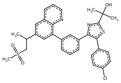 CC(CS(C)(=O)=O)c1cc(-c2cccc(-c3nc(C(C)(C)O)sc3-c3ccc(Cl)cc3)c2)c2ncccc2c1